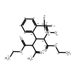 CCOC(=O)C(C(C)=O)C(c1ccccc1C(F)(F)F)C(C(=O)OCC)[N+](=O)[O-]